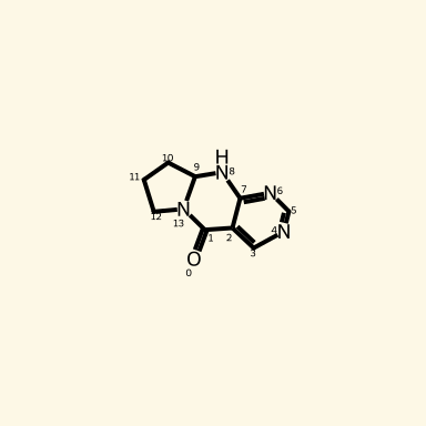 O=C1c2cncnc2NC2CCCN12